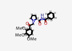 COc1ccc(C(=O)CN2CCC[C@@H]2C(=O)NC(=O)c2ccccc2)c(OC)c1OC